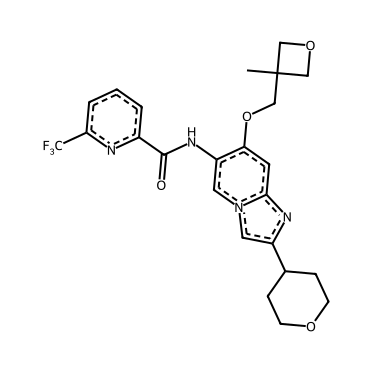 CC1(COc2cc3nc(C4CCOCC4)cn3cc2NC(=O)c2cccc(C(F)(F)F)n2)COC1